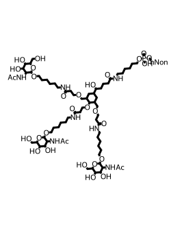 CCCCCCCCCOP(=O)(O)OCCCCCCNC(=O)CCCC(O)C1CC(COCCC(=O)NCCCCCCOC2OC(CO)C(O)C(O)C2NC(C)=O)C(OCCC(=O)NCCCCCCOC2OC(CO)C(O)C(O)C2NC(C)=O)C(COCCC(=O)NCCCCCCOC2OC(CO)C(O)C(O)C2NC(C)=O)C1